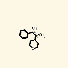 C[C@H]([C@@H](O)c1ccccc1)N1CCOCC1